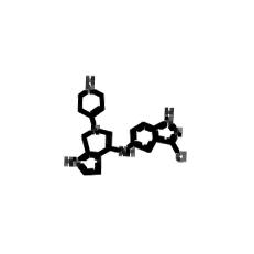 Clc1n[nH]c2ccc(NC3=CN(C4=CCNCC4)Cc4[nH]ccc43)cc12